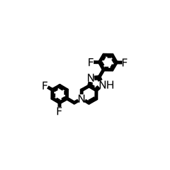 Fc1ccc(CN2C=Cc3[nH]c(-c4cc(F)ccc4F)nc3C2)c(F)c1